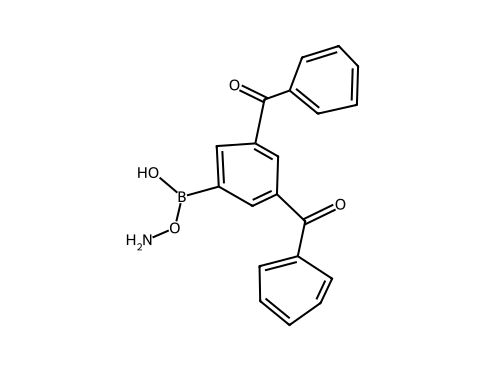 NOB(O)c1cc(C(=O)c2ccccc2)cc(C(=O)c2ccccc2)c1